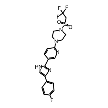 O=S(=O)(CC(F)(F)F)N1CCN(c2ccc(-c3nc(-c4ccc(F)cc4)c[nH]3)cn2)CC1